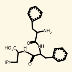 CC(C)CC(NC(=O)C(Cc1ccccc1)NC(=O)C(N)Cc1ccccc1)C(=O)O